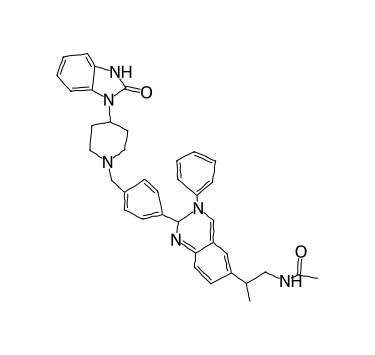 CC(=O)NCC(C)c1ccc2c(c1)=CN(c1ccccc1)C(c1ccc(CN3CCC(n4c(=O)[nH]c5ccccc54)CC3)cc1)N=2